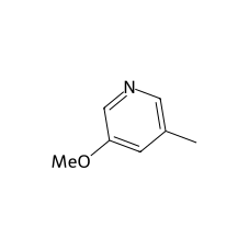 COc1cncc(C)c1